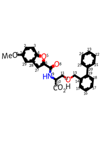 COc1ccc2oc(C(=O)NC(COCc3ccccc3-c3ccccc3)C(=O)O)cc2c1